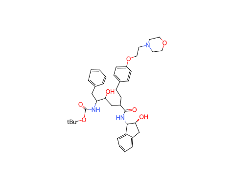 CC(C)(C)OC(=O)NC(Cc1ccccc1)C(O)CC(CCc1ccc(OCCN2CCOCC2)cc1)C(=O)N[C@H]1c2ccccc2C[C@@H]1O